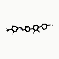 CCCC1CCC(c2ccc(-c3ccc(/C=C/c4ccc(C5CO5)c(F)c4)cc3)c(F)c2F)CC1